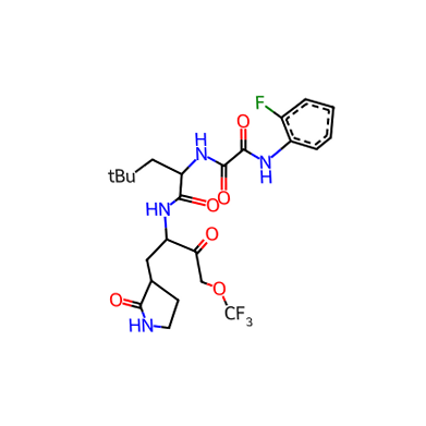 CC(C)(C)CC(NC(=O)C(=O)Nc1ccccc1F)C(=O)NC(CC1CCNC1=O)C(=O)COC(F)(F)F